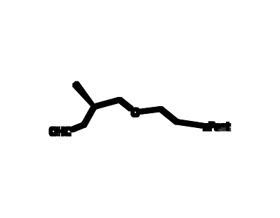 CCCCCCCOC[C@H](C)CC=O